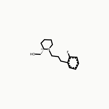 OC[C@@H]1CCCCN1CCCc1ccccc1F